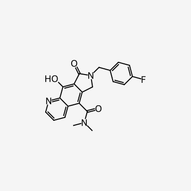 CN(C)C(=O)c1c2c(c(O)c3ncccc13)C(=O)N(Cc1ccc(F)cc1)C2